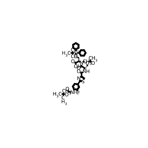 CC(=O)OC[C@H](NC(=O)c1csc(-c2ccc(NC(=O)OC(C)(C)C)c(F)c2)n1)C(=O)N(C)[C@@H](CO[Si](c1ccccc1)(c1ccccc1)C(C)(C)C)C(=O)O